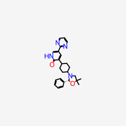 CC1(C)CN(C2CCC(c3cc(-c4ncccn4)c[nH]c3=O)CC2)[C@@H](c2ccccc2)O1